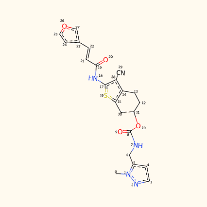 Cn1nccc1CNC(=O)OC1CCc2c(sc(NC(=O)C=Cc3ccoc3)c2C#N)C1